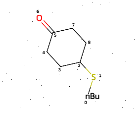 CCCCSC1CCC(=O)CC1